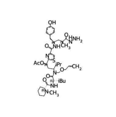 C=CCOCN(C(=O)[C@@H](NC(=O)[C@H]1CCCCN1C)C(C)CC)C(C[C@@H](OC(C)=O)c1nc(C(=O)N[C@@H](Cc2ccc(O)cc2)C[C@H](C)C(=O)NN)cs1)C(C)C